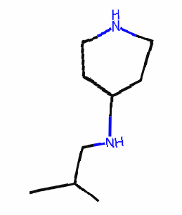 CC(C)CNC1CCNCC1